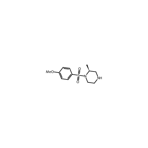 COc1ccc(S(=O)(=O)N2CCNC[C@@H]2C)cc1